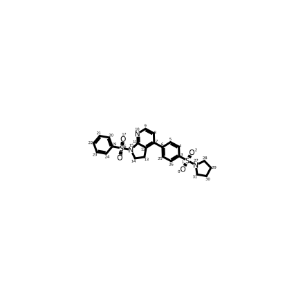 O=S(=O)(c1ccc(-c2ccnc3c2CCN3S(=O)(=O)c2ccccc2)cc1)N1CCCC1